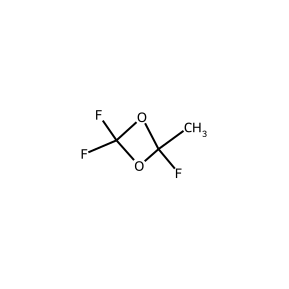 CC1(F)OC(F)(F)O1